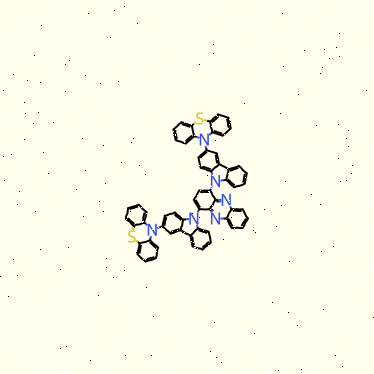 c1ccc2c(c1)Sc1ccccc1N2c1ccc2c(c1)c1ccccc1n2-c1ccc(-n2c3ccccc3c3cc(N4c5ccccc5Sc5ccccc54)ccc32)c2nc3ccccc3nc12